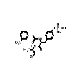 CC(C)CC(C)NC(=O)C(Cc1ccc(OP(=O)(O)O)cc1)NC(=O)Cc1cccc([N+](=O)[O-])c1